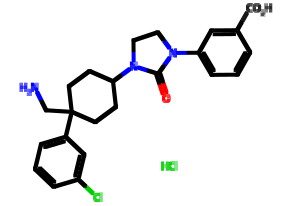 Cl.NCC1(c2cccc(Cl)c2)CCC(N2CCN(c3cccc(C(=O)O)c3)C2=O)CC1